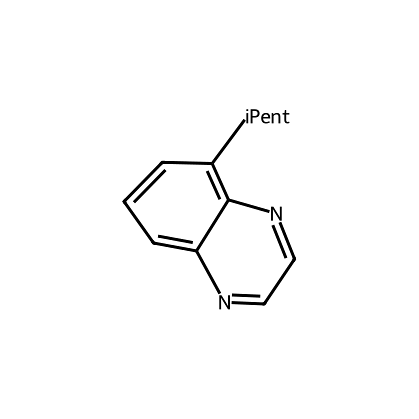 CCCC(C)c1cccc2nccnc12